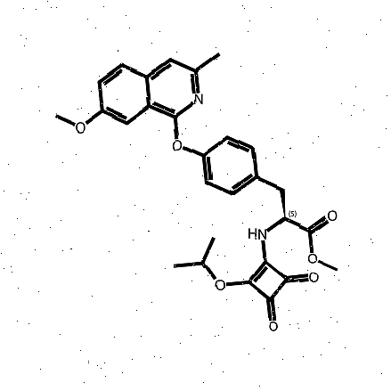 COC(=O)[C@H](Cc1ccc(Oc2nc(C)cc3ccc(OC)cc23)cc1)Nc1c(OC(C)C)c(=O)c1=O